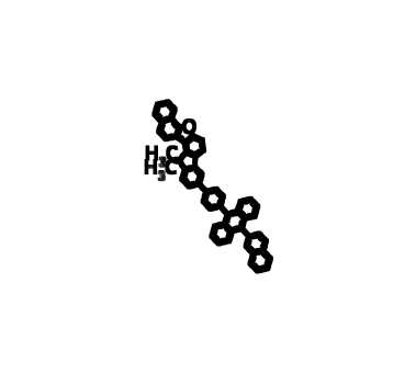 CC1(C)c2ccc(-c3ccc(-c4c5ccccc5c(-c5ccc6ccccc6c5)c5ccccc45)cc3)cc2-c2ccc3oc4c5ccccc5ccc4c3c21